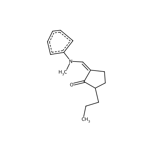 CCCC1CCC(=CN(C)c2ccccc2)C1=O